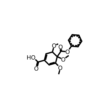 COC1=CC(C(=O)O)=CC(OC)C1(OC)C(=O)Oc1ccccc1